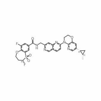 C[C@H]1C[C@H]1c1cnc2c(c1)OCCN2c1ccc2cnc(CNC(=O)c3cc(F)c4c(c3)S(=O)(=O)[C@@H](F)CCO4)cc2n1